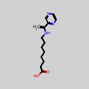 C=C(NCCCCCCCC(=O)O)c1cnccn1